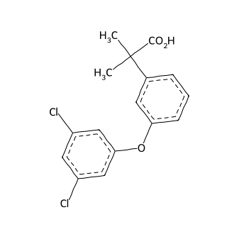 CC(C)(C(=O)O)c1cccc(Oc2cc(Cl)cc(Cl)c2)c1